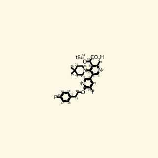 Cc1ncc(-c2cnc(OCCc3ccc(F)cc3)c(F)c2)c(N2CCC(C)(C)CC2)c1C(OC(C)(C)C)C(=O)O